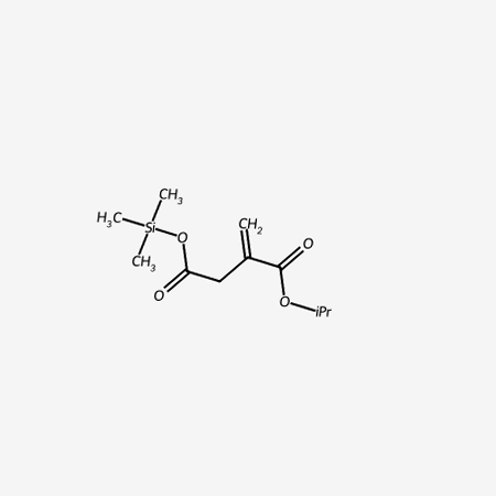 C=C(CC(=O)O[Si](C)(C)C)C(=O)OC(C)C